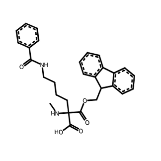 CNC(CCCCNC(=O)c1ccccc1)(C(=O)O)C(=O)OCC1c2ccccc2-c2ccccc21